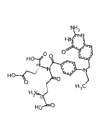 CCN(Cc1ccc2nc(N)[nH]c(=O)c2c1)c1ccc(C(=O)N(C(=O)CC[C@H](N)C(=O)O)[C@H](CCC(=O)O)C(=O)O)cc1